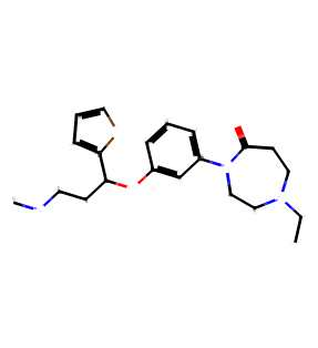 CCN1CCC(=O)N(c2cccc(OC(CCNC)c3cccs3)c2)CC1